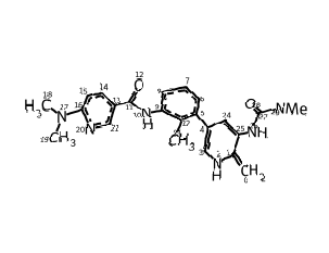 C=C1NC=C(c2cccc(NC(=O)c3ccc(N(C)C)nc3)c2C)C=C1NC(=O)NC